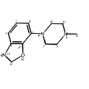 CN1CCN(c2cccc3c2OCN3)CC1